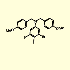 COc1ccc(CN(Cc2ccc(OC)cc2)c2cc(F)c(I)c(Br)c2)cc1